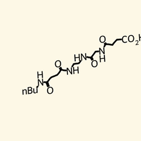 CCCCNC(=O)CCC(=O)NCCNC(=O)CNC(=O)CCC(=O)O